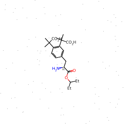 CCC(CC)OC(=O)[C@@H](N)Cc1ccc(C(C)(C)C(=O)O)c(C(C)(C)C(=O)O)c1